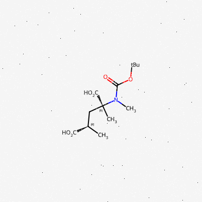 C[C@H](C[C@](C)(C(=O)O)N(C)C(=O)OC(C)(C)C)C(=O)O